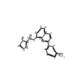 FC(F)(F)c1cccc(-c2ccc3cccc(CNc4nccs4)c3n2)c1